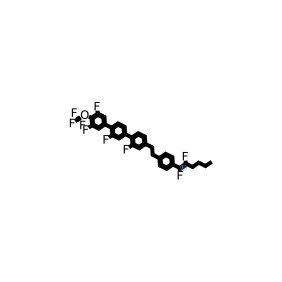 CCCC/C(F)=C(\F)c1ccc(CCc2ccc(-c3ccc(-c4cc(F)c(OC(F)(F)F)c(F)c4)c(F)c3)c(F)c2)cc1